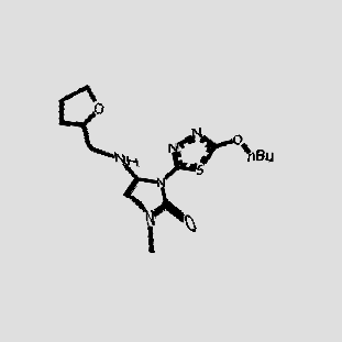 CCCCOc1nnc(N2C(=O)N(C)CC2NCC2CCCO2)s1